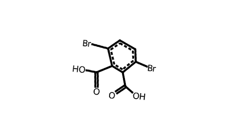 O=C(O)c1c(Br)ccc(Br)c1C(=O)O